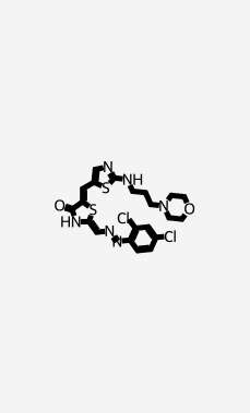 O=c1[nH]c(=CN=Nc2ccc(Cl)cc2Cl)sc1=Cc1cnc(NCCCN2CCOCC2)s1